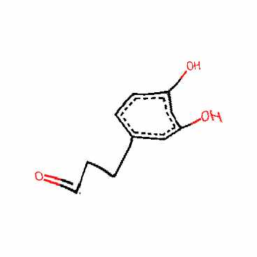 O=[C]CCc1ccc(O)c(O)c1